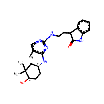 CC1(C)C[C@H](Nc2nc(NCCC3C(=O)Nc4ccccc43)ncc2C#N)CC[C@H]1O